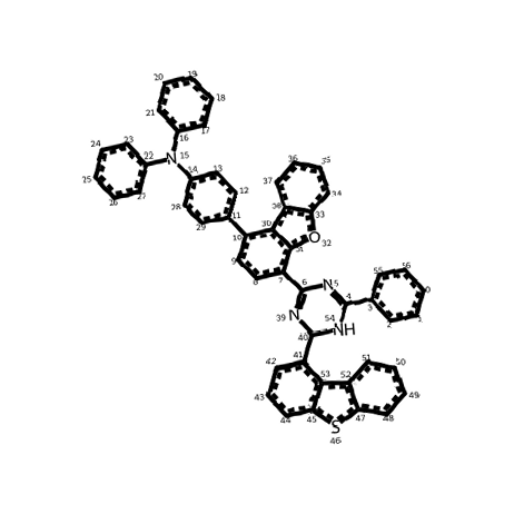 c1ccc(C2=NC(c3ccc(-c4ccc(N(c5ccccc5)c5ccccc5)cc4)c4c3oc3ccccc34)=NC(c3cccc4sc5ccccc5c34)N2)cc1